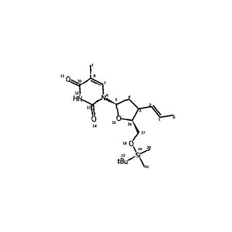 CC=CC1C[C@H](n2cc(C)c(=O)[nH]c2=O)O[C@@H]1CO[Si](C)(C)C(C)(C)C